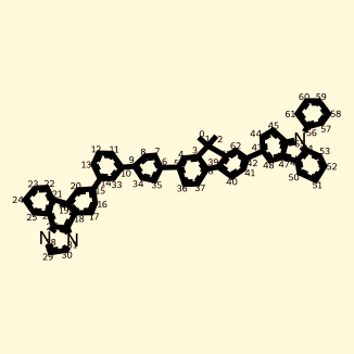 CC1(C)c2cc(-c3ccc(-c4cccc(-c5ccc6c(c5)c5ccccc5c5nccnc65)c4)cc3)ccc2-c2ccc(-c3ccc4c(c3)c3ccccc3n4-c3ccccc3)cc21